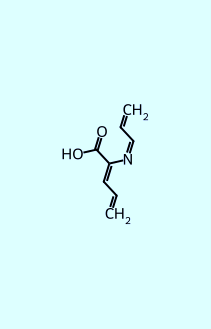 C=C/C=N\C(=C/C=C)C(=O)O